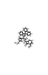 CC1=C(C=O)N2C(=O)C(NC(=O)/C(=N\OC(c3ccccc3)(c3ccccc3)c3ccccc3)c3nc(N)sc3C)C2CC1